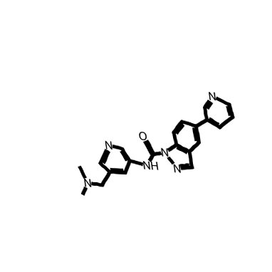 CN(C)Cc1cncc(NC(=O)n2ncc3cc(-c4cccnc4)ccc32)c1